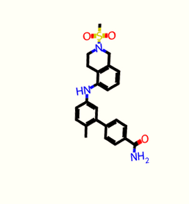 Cc1ccc(Nc2cccc3c2CCN(S(C)(=O)=O)C3)cc1-c1ccc(C(N)=O)cc1